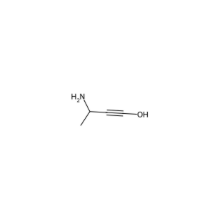 CC(N)C#CO